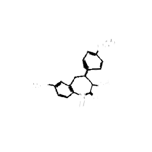 COc1ccc(C2Cc3cc(SC)ccc3NC(=O)C2O)cc1